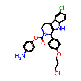 Nc1ccc(OC(=O)N2CCC3=C(NC4C=CC(Cl)=CC34)C2c2ccc(OCCCO)cc2)cc1